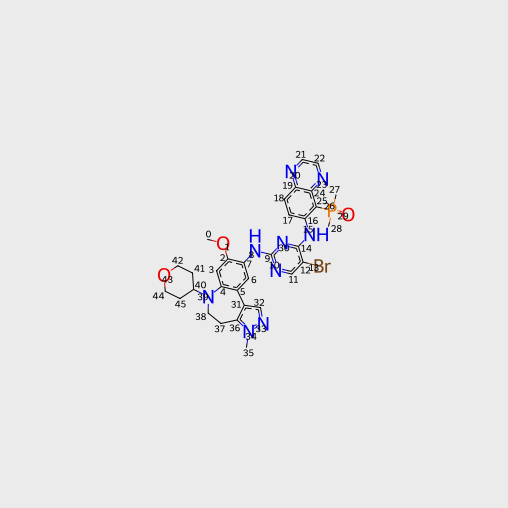 COc1cc2c(cc1Nc1ncc(Br)c(Nc3ccc4nccnc4c3P(C)(C)=O)n1)-c1cnn(C)c1CCN2C1CCOCC1